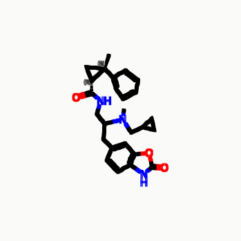 CN(CC1CC1)C(CNC(=O)[C@@H]1C[C@]1(C)c1ccccc1)Cc1ccc2[nH]c(=O)oc2c1